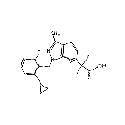 Cc1nn(CC2C(C3CC3)=CC=CC2F)c2cc(C(F)(F)C(=O)O)ccc12